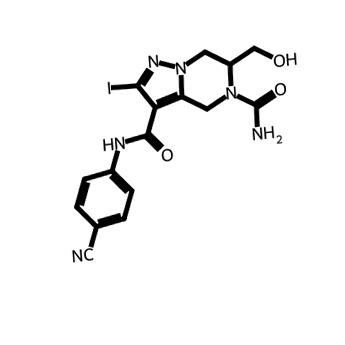 N#Cc1ccc(NC(=O)c2c(I)nn3c2CN(C(N)=O)C(CO)C3)cc1